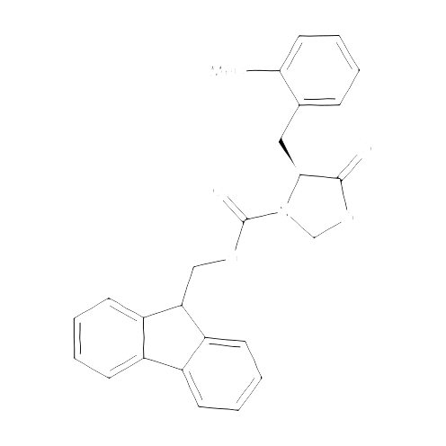 COc1ccccc1C[C@H]1C(=O)OCN1C(=O)OCC1c2ccccc2-c2ccccc21